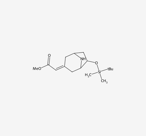 COC(=O)/C=C1\CC2CC(O[Si](C)(C)C(C)(C)C)C(C1)N2